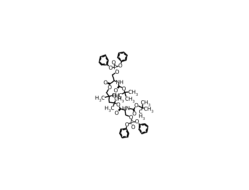 CC(C)(COC(=O)C(COP(=O)(Oc1ccccc1)Oc1ccccc1)NC(=O)OC(C)(C)C)CC(C)(C)OC(=O)C(COP(=O)(Oc1ccccc1)Oc1ccccc1)NC(=O)OC(C)(C)C